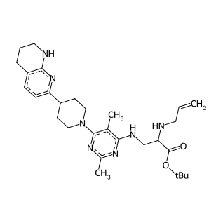 C=CCNC(CNc1nc(C)nc(N2CCC(c3ccc4c(n3)NCCC4)CC2)c1C)C(=O)OC(C)(C)C